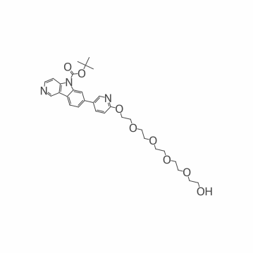 CC(C)(C)OC(=O)n1c2ccncc2c2ccc(-c3ccc(OCCOCCOCCOCCOCCO)nc3)cc21